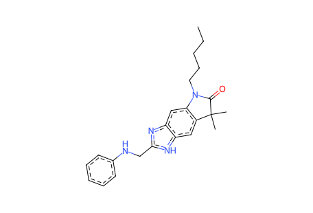 CCCCCN1C(=O)C(C)(C)c2cc3[nH]c(CNc4ccccc4)nc3cc21